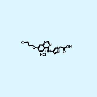 Cl.O=C(O)Cn1cc(Nc2ncnc3cc(OCCCCl)ccc23)cn1